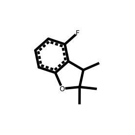 CC1c2c(F)cccc2OC1(C)C